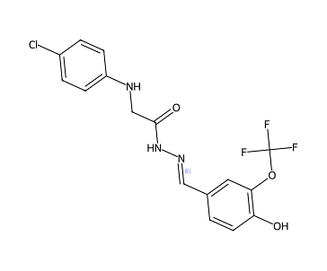 O=C(CNc1ccc(Cl)cc1)N/N=C/c1ccc(O)c(OC(F)(F)F)c1